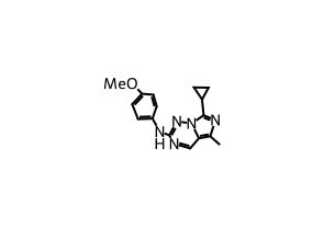 COc1ccc(Nc2ncc3c(C)nc(C4CC4)n3n2)cc1